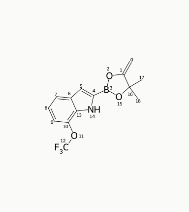 C=C1OB(c2cc3cccc(OC(F)(F)F)c3[nH]2)OC1(C)C